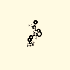 N#C[C@@H]1CN(C(=O)[C@@H]2CC[C@@H]3CCCCC(NC(=O)c4ccc5ccc(C(F)P(=O)(O)O)cc5c4)C(=O)N32)C[C@H]1c1ccccc1